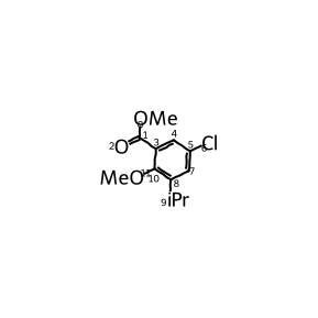 COC(=O)c1cc(Cl)cc(C(C)C)c1OC